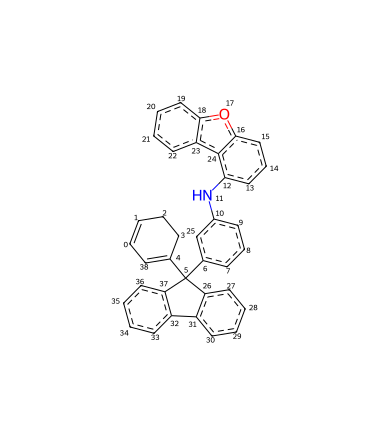 C1=CCCC(C2(c3cccc(Nc4cccc5oc6ccccc6c45)c3)c3ccccc3-c3ccccc32)=C1